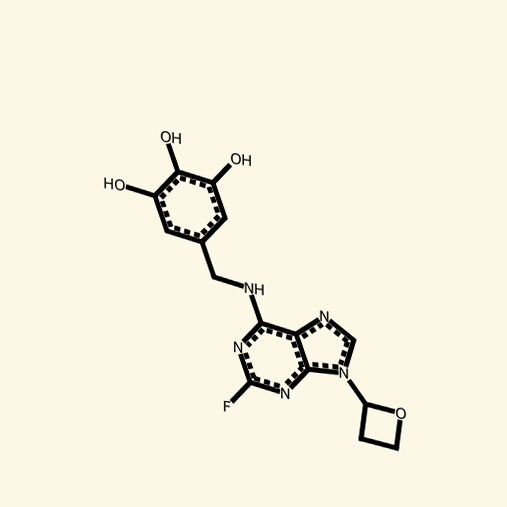 Oc1cc(CNc2nc(F)nc3c2ncn3C2CCO2)cc(O)c1O